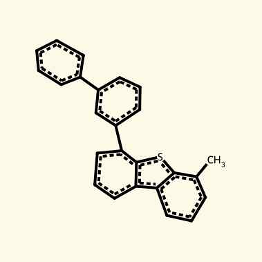 Cc1cccc2c1sc1c(-c3cccc(-c4ccccc4)c3)cccc12